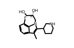 Cc1c(C2CCCNC2)n(C[C@@H](O)CO)c2c(F)cccc12